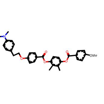 COc1ccc(C(=O)Oc2ccc(OC(=O)c3ccc(OCCc4ccc(N(C)C)cc4)cc3)c(C)c2C)cc1